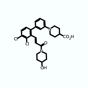 O=C(O)C1CCN(c2cccc(-c3c[c]c(Cl)c(Cl)c3/C=C/C(=O)N3CCC(O)CC3)c2)CC1